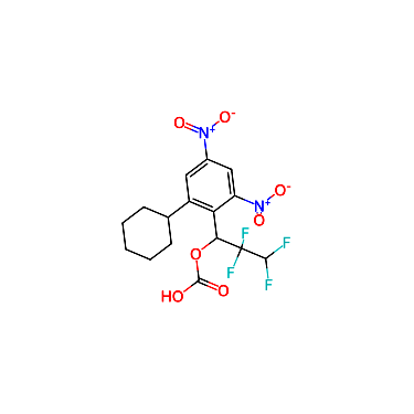 O=C(O)OC(c1c(C2CCCCC2)cc([N+](=O)[O-])cc1[N+](=O)[O-])C(F)(F)C(F)F